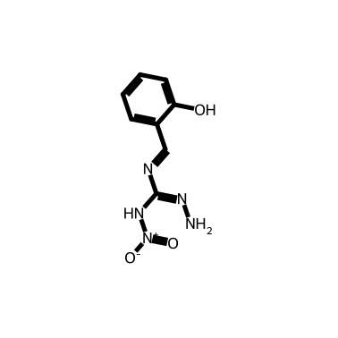 NN=C(N=Cc1ccccc1O)N[N+](=O)[O-]